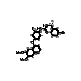 COc1cc2nccc(Oc3ccc(NC(=O)N[C@H](C)c4cccc(Br)c4)c(F)c3)c2cc1OC